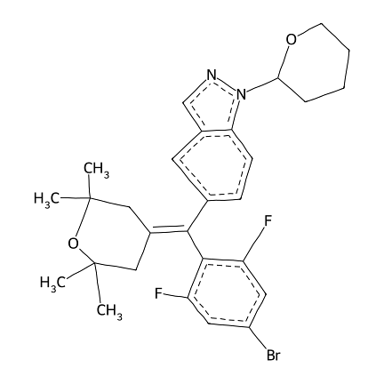 CC1(C)CC(=C(c2ccc3c(cnn3C3CCCCO3)c2)c2c(F)cc(Br)cc2F)CC(C)(C)O1